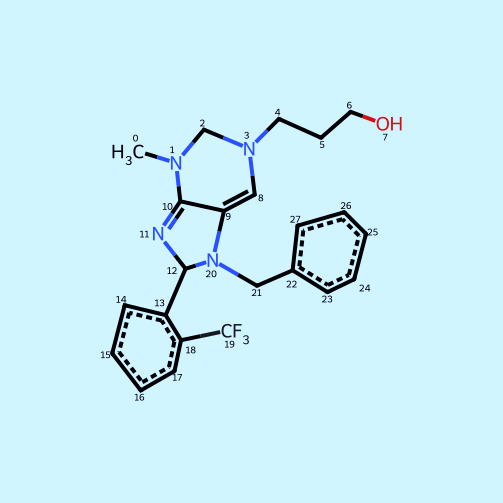 CN1CN(CCCO)C=C2C1=NC(c1ccccc1C(F)(F)F)N2Cc1ccccc1